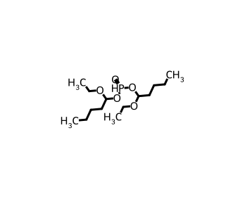 CCCCC(OCC)O[PH](=O)OC(CCCC)OCC